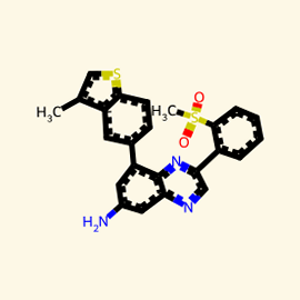 Cc1csc2ccc(-c3cc(N)cc4ncc(-c5ccccc5S(C)(=O)=O)nc34)cc12